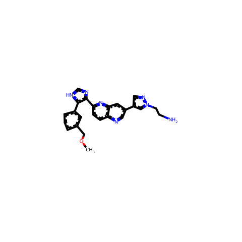 COCc1cccc(-c2[nH]cnc2-c2ccc3ncc(-c4cnn(CCN)c4)cc3n2)c1